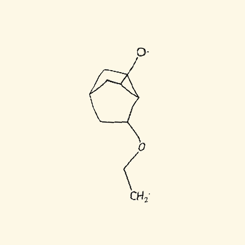 [CH2]COC1CC2CCC1C([O])C2